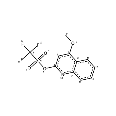 COc1cc(OS(=O)(=O)C(F)(F)F)nc2ccccc12